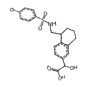 O=C(O)C(O)c1ccc2c(c1)CCCC2CNS(=O)(=O)c1ccc(Cl)cc1